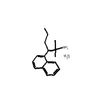 CCCC(c1cccc2ccccc12)C(C)(C)N.O